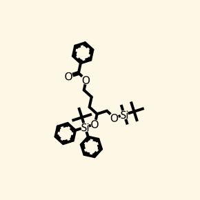 CC(C)(C)[Si](C)(C)OCC(CCCOC(=O)c1ccccc1)O[Si](c1ccccc1)(c1ccccc1)C(C)(C)C